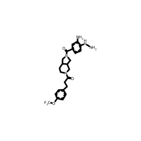 NNc1ccc(C(=O)N2CC3CCN(C(=O)CCc4ccc(OC(F)(F)F)cc4)CC3C2)cc1N